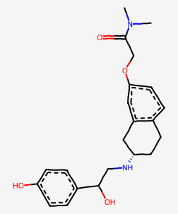 CN(C)C(=O)COc1ccc2c(c1)C[C@@H](NCC(O)c1ccc(O)cc1)CC2